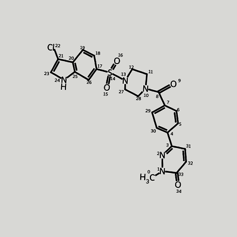 Cn1nc(-c2ccc(C(=O)N3CCN(S(=O)(=O)c4ccc5c(Cl)c[nH]c5c4)CC3)cc2)ccc1=O